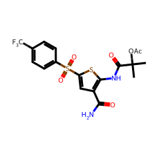 CC(=O)OC(C)(C)C(=O)Nc1sc(S(=O)(=O)c2ccc(C(F)(F)F)cc2)cc1C(N)=O